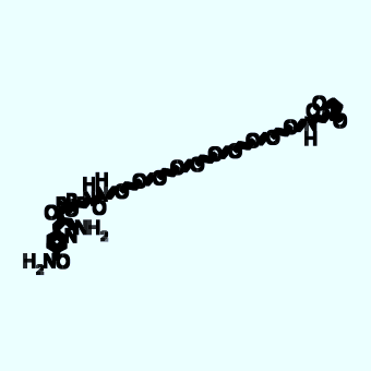 CCCN(OCCNC(=O)NCCOCCOCCOCCOCCOCCOCCOCCOCCOCCOCCNC(=O)CN1C(=O)C=CC1=O)C(=O)C1=Cc2ccc(C(N)=O)cc2N=C(N)C1